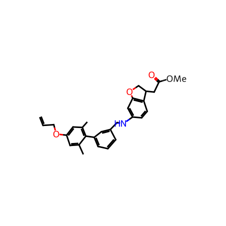 C=CCOc1cc(C)c(-c2cccc(CNc3ccc4c(c3)OCC4CC(=O)OC)c2)c(C)c1